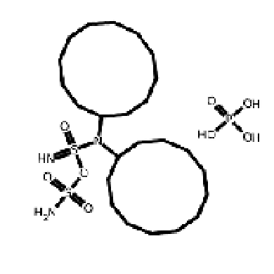 N=S(=O)(OS(N)(=O)=O)N(C1CCCCCCCCCCC1)C1CCCCCCCCCCC1.O=P(O)(O)O